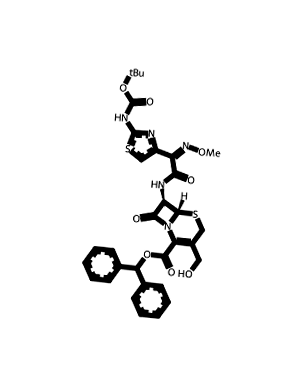 CO/N=C(\C(=O)N[C@@H]1C(=O)N2C(C(=O)OC(c3ccccc3)c3ccccc3)=C(CO)CS[C@@H]12)c1csc(NC(=O)OC(C)(C)C)n1